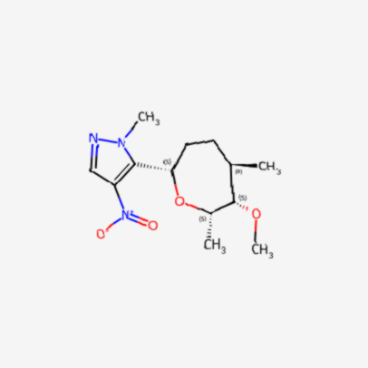 CO[C@H]1[C@H](C)CC[C@@H](c2c([N+](=O)[O-])cnn2C)O[C@H]1C